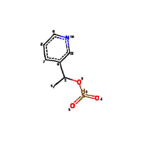 CC(O[SH](=O)=O)c1cccnc1